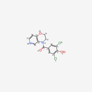 O=C(c1cc(Cl)c(O)c(Cl)c1)N1CCOc2ccncc21